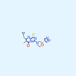 CSc1nc(N2CCO[C@@H](c3cnn(C)c3)C2)cn2c(=O)c(C)c(CC3CC3)nc12